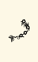 CCOP(CCCOc1ccc(-c2ccc(Cn3ccc4nc(-c5cccc(C)c5F)nc-4c3)cc2)c(C)c1)OCC